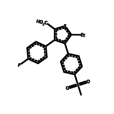 CCc1sc(C(=O)O)c(-c2ccc(F)cc2)c1-c1ccc(S(C)(=O)=O)cc1